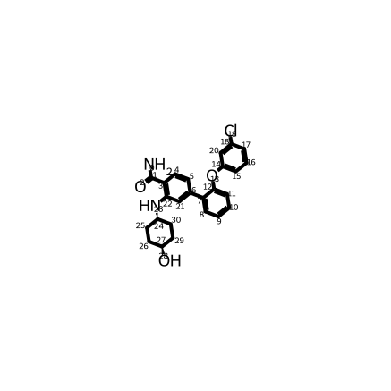 NC(=O)c1ccc(-c2ccccc2Oc2cccc(Cl)c2)cc1N[C@H]1CC[C@H](O)CC1